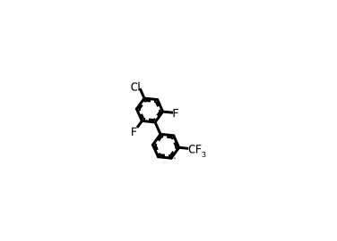 Fc1cc(Cl)cc(F)c1-c1cc[c]c(C(F)(F)F)c1